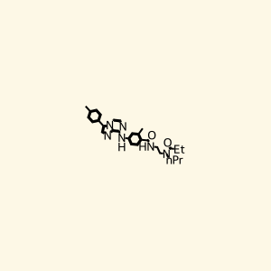 CCCN(CCNC(=O)c1ccc(Nc2nccn3c(-c4ccc(C)cc4)cnc23)cc1C)C(=O)CC